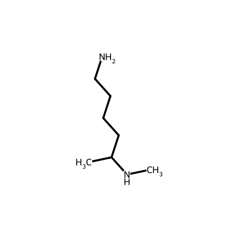 CNC(C)CCCCN